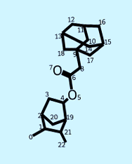 CC1C2CC(OC(=O)CC34CC5CC(CC(C5)C3)C4)C(C2)C1C